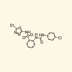 CCc1nnc(NS(=O)(=O)c2ccccc2NC(=O)Nc2ccc(Cl)cc2)s1